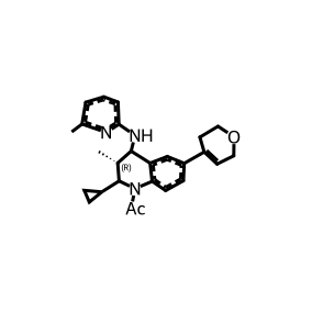 CC(=O)N1c2ccc(C3=CCOCC3)cc2C(Nc2cccc(C)n2)[C@@H](C)C1C1CC1